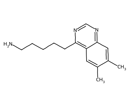 Cc1cc2ncnc(CCCCCN)c2cc1C